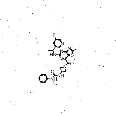 Cc1nc2nc(NC(C)c3cncc(F)c3)nc(C(=O)N3CC(NC(=O)Nc4ccccc4)C3)c2s1